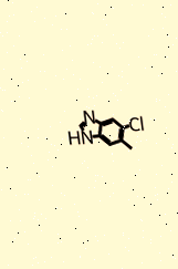 Cc1cc2[nH]cnc2cc1Cl